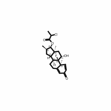 CC(Cl)C(=O)O[C@@H]1[C@H](C)C[C@H]2[C@@H]3CCC4=CC(=O)C=C[C@]4(C)[C@@]3(F)[C@@H](O)C[C@]12C